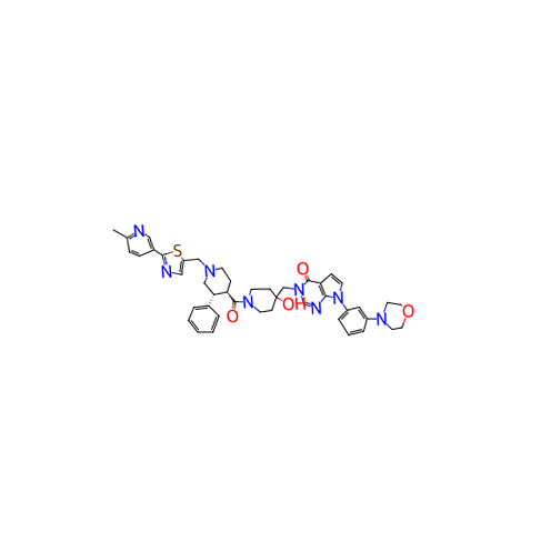 Cc1ccc(-c2ncc(CN3CC[C@@H](C(=O)N4CCC(O)(Cn5cnc6c(ccn6-c6cccc(N7CCOCC7)c6)c5=O)CC4)[C@H](c4ccccc4)C3)s2)cn1